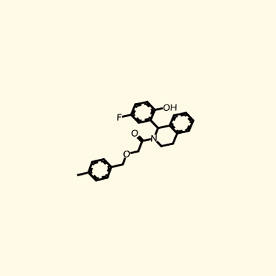 Cc1ccc(COCC(=O)N2CCc3ccccc3C2c2cc(F)ccc2O)cc1